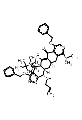 C=CCN[C@@H]1c2onc(OCc3ccccc3)c2C(=O)[C@@]2(O[Si](C)(C)C(C)(C)C)C(O)=C3C(=O)c4c(OCc5ccccc5)cnc(N(C)C)c4C[C@H]3C[C@@H]12